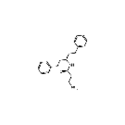 NCCC(=O)NC(CCc1ccccc1)CCc1ccccc1